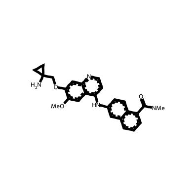 CNC(=O)c1cccc2cc(Nc3ccnc4cc(OCC5(N)CC5)c(OC)cc34)ccc12